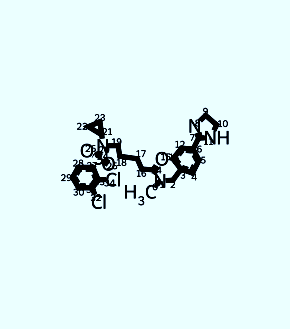 CN(Cc1ccc(C2=NCCN2)cc1)C(=O)CCCCN(C1CC1)S(=O)(=O)c1cccc(Cl)c1Cl